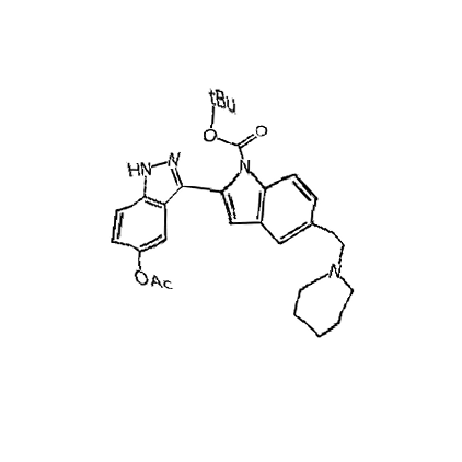 CC(=O)Oc1ccc2[nH]nc(-c3cc4cc(CN5CCCCC5)ccc4n3C(=O)OC(C)(C)C)c2c1